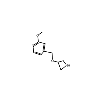 COc1cc(COC2CNC2)ccn1